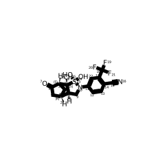 C[C@@]12[C@H]3C[C@H](CC3=O)[C@@H]1CN(c1ccc(C#N)c(C(F)(F)F)c1)S2(O)O